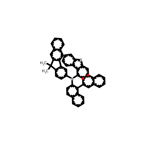 CC1(C)c2ccc(N(c3ccc4ccccc4c3-c3ccc4ccccc4c3)c3cccc4sc5ccccc5c34)cc2-c2cc3ccccc3cc21